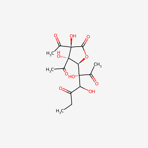 CCC(=O)C(O)[C@](O)(C(C)=O)[C@@H]1OC(=O)[C@@](O)(C(C)=O)[C@]1(O)C(C)=O